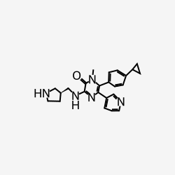 Cn1c(-c2ccc(C3CC3)cc2)c(-c2cccnc2)nc(NC[C@H]2CCNC2)c1=O